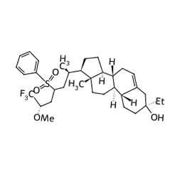 CC[C@]1(O)CC[C@H]2C(=CC[C@@H]3[C@@H]2CC[C@]2(C)[C@@H]([C@H](C)CC(C[C@H](OC)C(F)(F)F)S(=O)(=O)c4ccccc4)CC[C@@H]32)C1